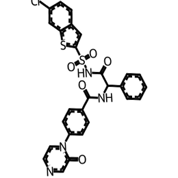 O=C(NC(C(=O)NS(=O)(=O)c1cc2ccc(Cl)cc2s1)c1ccccc1)c1ccc(-n2ccncc2=O)cc1